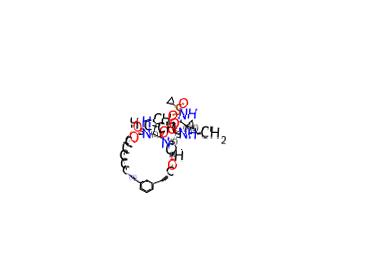 C=C[C@@H]1C[C@]1(NC(=O)[C@@H]1C[C@@H]2CN1C(=O)[C@H](C(C)(C)C)NC(=O)OCCCCC/C=C\c1cccc(c1)C#CCO2)C(=O)NS(=O)(=O)C1CC1